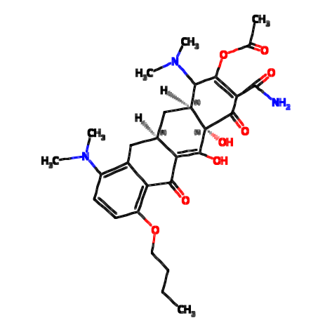 CCCCOc1ccc(N(C)C)c2c1C(=O)C1=C(O)[C@]3(O)C(=O)C(C(N)=O)=C(OC(C)=O)C(N(C)C)[C@@H]3C[C@@H]1C2